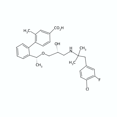 Cc1cc(C(=O)O)ccc1-c1ccccc1[C@@H](C)OC[C@H](O)CNC(C)(C)Cc1ccc(Cl)c(F)c1